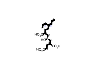 C=C/C=C(\C=C/C)CCC(CP(O)CC(CCC(=O)O)C(=O)O)C(=O)O